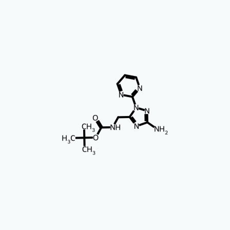 CC(C)(C)OC(=O)NCc1nc(N)nn1-c1ncccn1